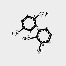 Nc1ccc(C(=O)O)cc1.O=Cc1ccccc1O